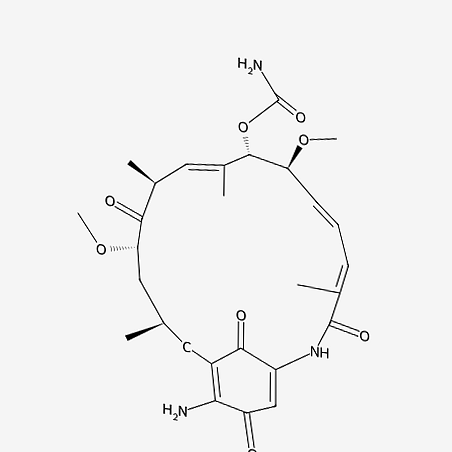 CO[C@H]1C[C@H](C)CC2=C(N)C(=O)C=C(NC(=O)/C(C)=C/C=C\[C@H](OC)[C@@H](OC(N)=O)/C(C)=C/[C@H](C)C1=O)C2=O